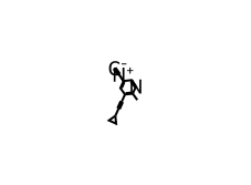 [C-]#[N+]c1cnc(C)c(C#CC2CC2)c1